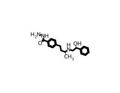 C[C@H](CCc1ccc(C(=O)NN)cc1)NC[C@H](O)c1ccccc1